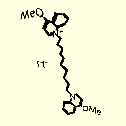 COc1cc[n+](CCCCCCCCCC[n+]2ccc(OC)c3ccccc32)c2ccccc12.[I-].[I-]